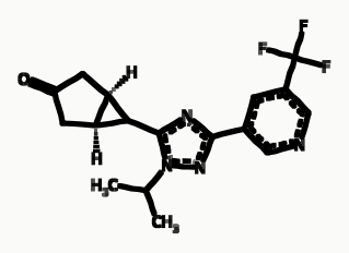 CC(C)n1nc(-c2cncc(C(F)(F)F)c2)nc1C1[C@H]2CC(=O)C[C@@H]12